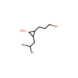 CCC(CC1C(CCCS)[C@H]1O)C(C)C